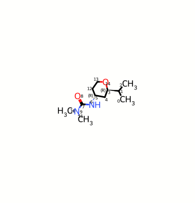 CC(C)[C@H]1C[C@H](NC(=O)N(C)C)CCO1